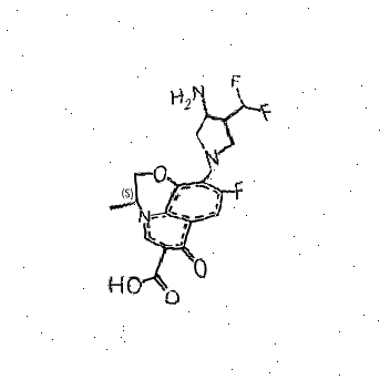 C[C@H]1COc2c(N3CC(N)C(C(F)F)C3)c(F)cc3c(=O)c(C(=O)O)cn1c23